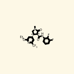 CCOc1cc([C@@H]2CN(C)C(=O)[C@H]2C(=O)Nc2cccc(F)c2F)cc(C(F)(F)F)n1